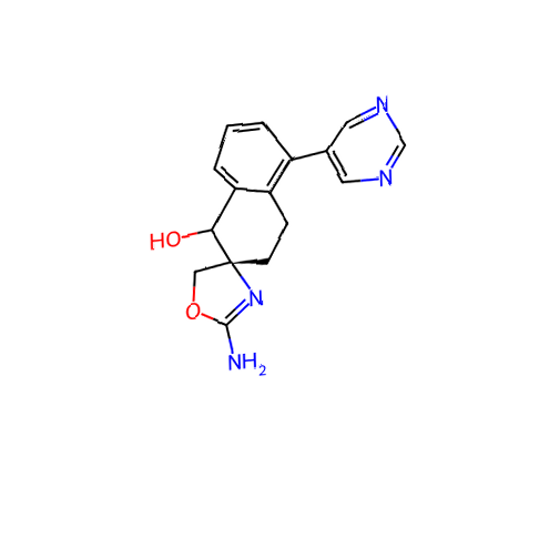 NC1=N[C@]2(CCc3c(-c4cncnc4)cccc3C2O)CO1